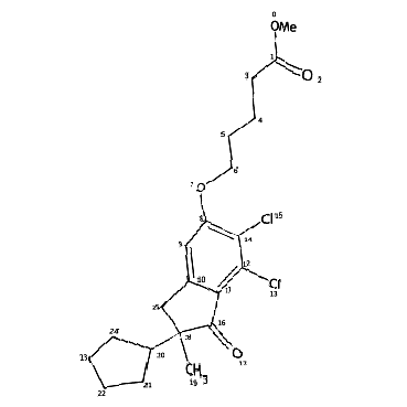 COC(=O)CCCCOc1cc2c(c(Cl)c1Cl)C(=O)C(C)(C1CCCC1)C2